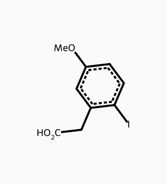 COc1ccc(I)c(CC(=O)O)c1